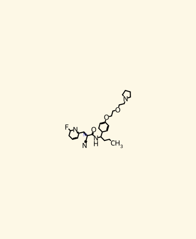 CCCC(NC(=O)/C(C#N)=C/C1=NC(F)CC=C1)C1C=CC(OCCOCCN2CCCC2)=CC1